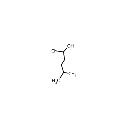 CC(C)CCC(O)Cl